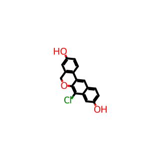 Oc1ccc2c(c1)COc1c-2cc2ccc(O)cc2c1Cl